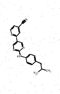 CC(C)Cc1ccc(Nc2ncc(-c3cc(C#N)ccn3)cn2)cc1